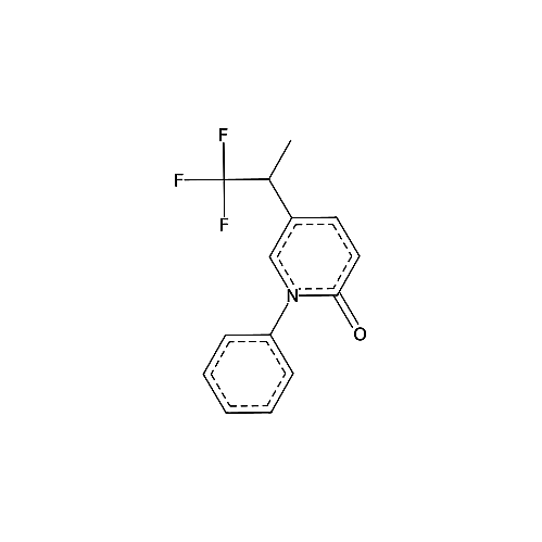 CC(c1ccc(=O)n(-c2ccccc2)c1)C(F)(F)F